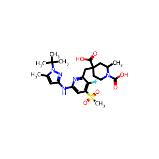 Cc1cc(Nc2cc(S(C)(=O)=O)c(F)c(CC3(C(=O)O)CCN(C(=O)O)C(C)C3)n2)nn1C(C)(C)C